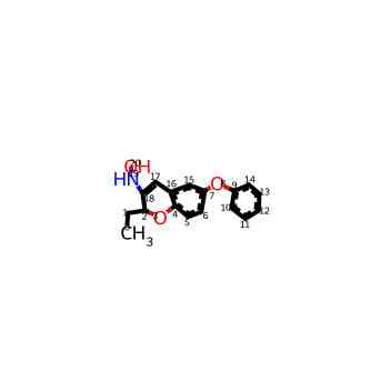 CCC1Oc2ccc(Oc3ccccc3)cc2C=C1NO